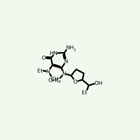 CCC(O)C1CCC(N(C=O)c2nc(N)[nH]c(=O)c2N(C)CC)O1